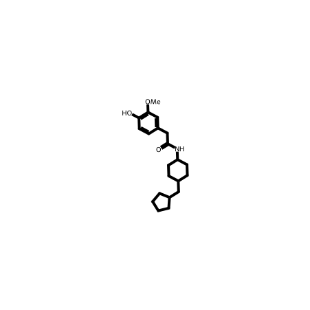 COc1cc(CC(=O)NC2CCC(CC3CCCC3)CC2)ccc1O